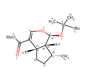 COC(=O)C1=CO[C@@H](O[Si](C)(C)C(C)(C)C)[C@@H]2[C@H](C)CC[C@H]12